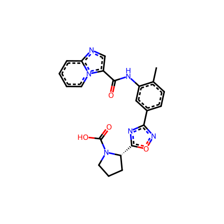 Cc1ccc(-c2noc([C@@H]3CCCN3C(=O)O)n2)cc1NC(=O)c1cnc2ccccn12